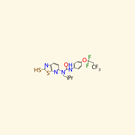 CC(C)CN(C(=O)Nc1ccc(OC(F)(F)CC(F)(F)F)cc1)c1ccc2nc(S)sc2n1